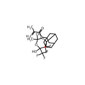 C=C(C)C(=O)OC12CC3CC(C1)C1(OC(C)(C)OC(O)(C(F)(F)F)C1(F)F)C(C3)C2